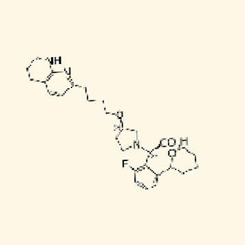 O=C(O)[C@@H](c1c(F)cccc1C1CCCCO1)N1CC[C@@H](OCCCCc2ccc3c(n2)NCCC3)C1